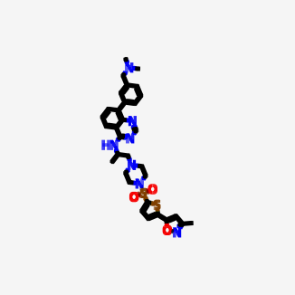 Cc1cc(-c2ccc(S(=O)(=O)N3CCN(CC(C)Nc4ncnc5c(-c6cccc(CN(C)C)c6)cccc45)CC3)s2)on1